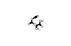 C=CC(=O)O.N#COC(=O)Cl